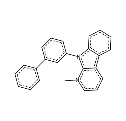 C[n+]1cccc2c3ccccc3n(-c3cccc(-c4ccccc4)c3)c21